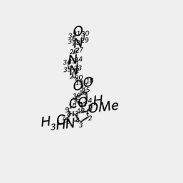 COc1ccc2[nH]c(C)c(CC(=O)O)c2c1-c1ccc(C(=O)OCCN2CCN(CCN3CCOCC3)CC2)cc1